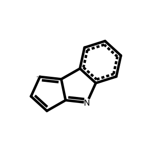 [C]1=C2C(=Nc3ccccc32)C=C1